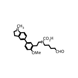 COc1ccc(-c2ccc3c(c2)CCN3C)cc1CCN(CCCCC=O)C(=O)O